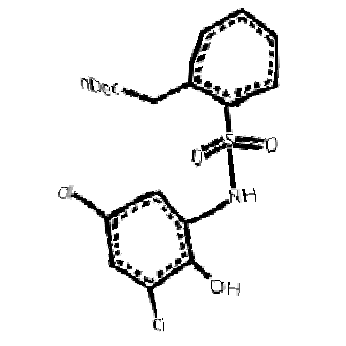 CCCCCCCCCCCc1ccccc1S(=O)(=O)Nc1cc(Cl)cc(Cl)c1O